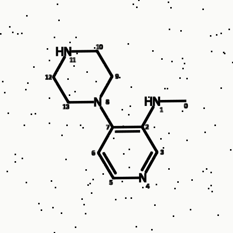 CNc1cnccc1N1CCNCC1